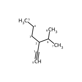 C#CC(CCC)C(C)C